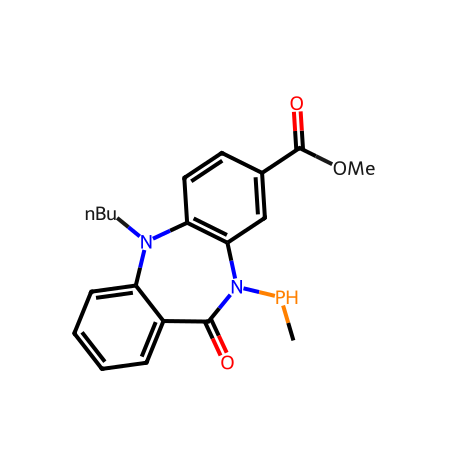 CCCCN1c2ccccc2C(=O)N(PC)c2cc(C(=O)OC)ccc21